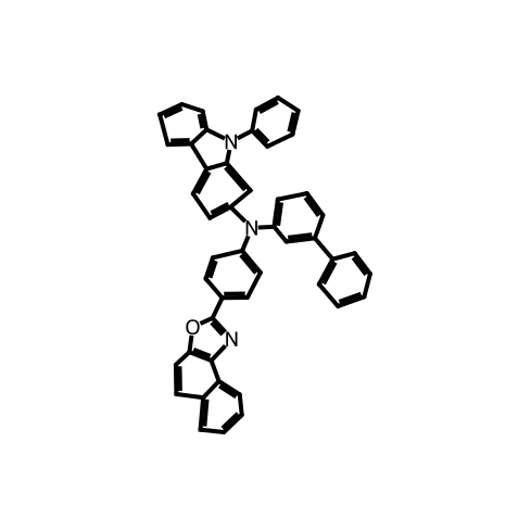 c1ccc(-c2cccc(N(c3ccc(-c4nc5c(ccc6ccccc65)o4)cc3)c3ccc4c5ccccc5n(-c5ccccc5)c4c3)c2)cc1